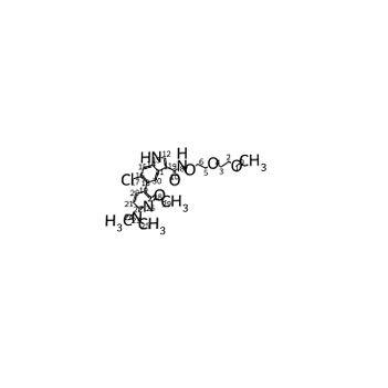 COCCOCCONC(=O)c1c[nH]c2cc(Cl)c(-c3ccc(N(C)C)nc3OC)cc12